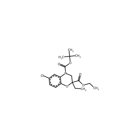 CCOC(=O)C1(CC)CN(C(=O)OC(C)(C)C)c2cc(Cl)ccc2O1